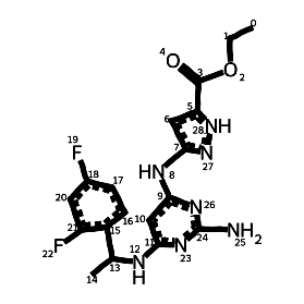 CCOC(=O)c1cc(Nc2cc(NC(C)c3ccc(F)cc3F)nc(N)n2)n[nH]1